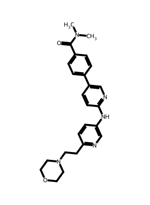 CN(C)C(=O)c1ccc(-c2ccc(Nc3ccc(CCN4CCOCC4)nc3)nc2)cc1